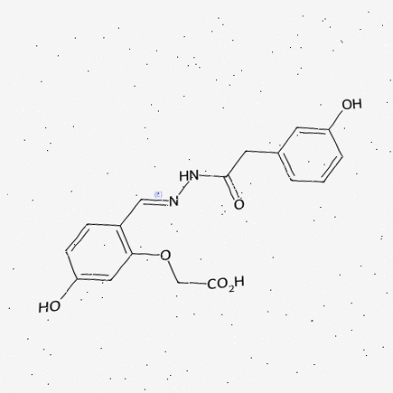 O=C(O)COc1cc(O)ccc1/C=N/NC(=O)Cc1cccc(O)c1